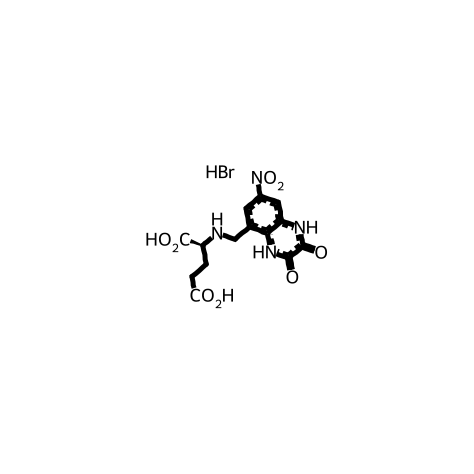 Br.O=C(O)CC[C@H](NCc1cc([N+](=O)[O-])cc2[nH]c(=O)c(=O)[nH]c12)C(=O)O